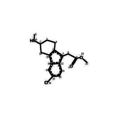 CNC1CCc2c(CC(=O)OC)c3ccc(Cl)cn3c2C1